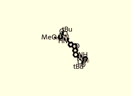 COC[C@H]1C[C@@H](c2ncc(-c3ccc4c(c3)COc3cc5c(cc3-4)CCc3nc([C@@H]4CC[C@H](C)N4C(=O)OC(C)(C)C)[nH]c3-5)[nH]2)N(C(=O)OC(C)(C)C)C1